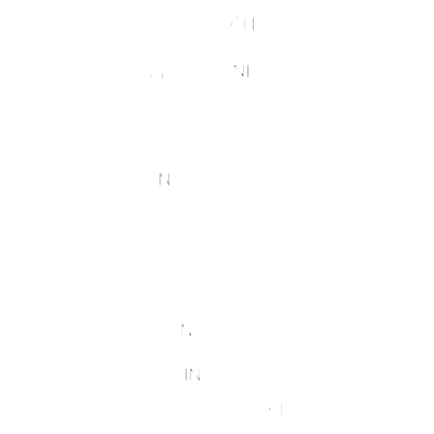 CNC(=O)c1ccc(-c2cc(Cl)[nH]n2)cn1